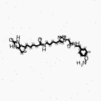 NOc1ccc(CCNC(=O)Cn2cc(CCCCNC(=O)CCCCC3SCC4NC(=O)NC43)nn2)cc1